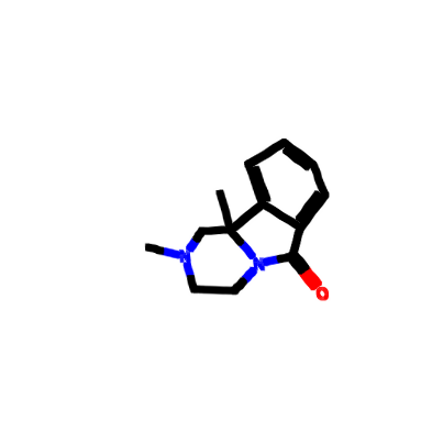 CN1CCN2C(=O)c3ccccc3C2(C)C1